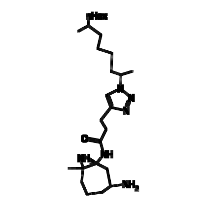 CCCCCCC(C)CCCCC(C)n1cc(CCC(=O)NC2(C)CC(N)CCCC2(C)N)nn1